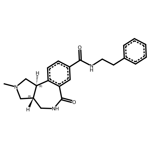 CN1C[C@H]2CNC(=O)c3cc(C(=O)NCCc4ccccc4)ccc3[C@@H]2C1